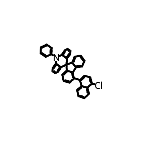 Clc1ccc(-c2cccc3c2-c2ccccc2C32c3ccccc3N(c3ccccc3)c3ccccc32)c2ccccc12